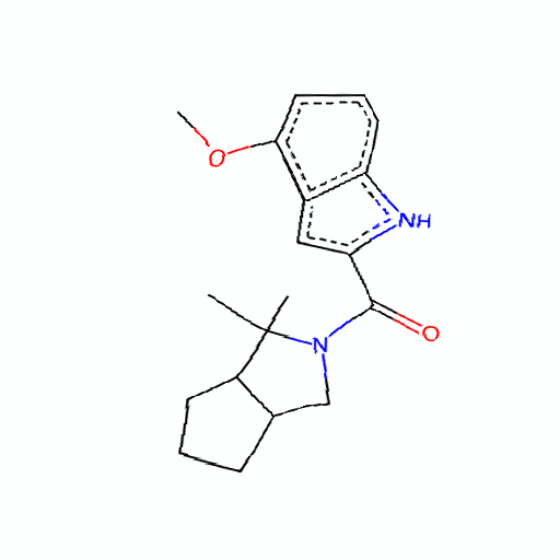 COc1cccc2[nH]c(C(=O)N3CC4CCCC4C3(C)C)cc12